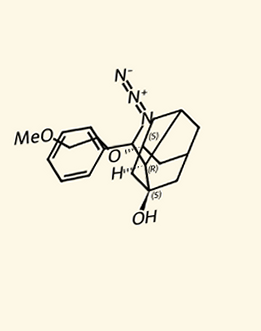 COCCO[C@@]12CC3CC(C1)[C@H](C(N=[N+]=[N-])c1ccccc1)[C@](O)(C3)C2